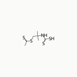 CC(=S)SCC(C)(C)NC(=S)S